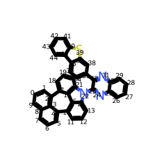 c1cc2c3c(cccc3c1)-c1cccc3c1c1c-2cccc1n3-c1nc2ccccc2nc1-c1ccc2c(c1)sc1ccccc12